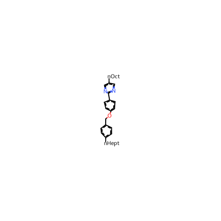 CCCCCCCCc1cnc(-c2ccc(OCc3ccc(CCCCCCC)cc3)cc2)nc1